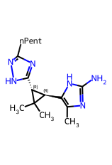 CCCCCc1n[nH]c([C@@H]2[C@@H](c3[nH]c(N)nc3C)C2(C)C)n1